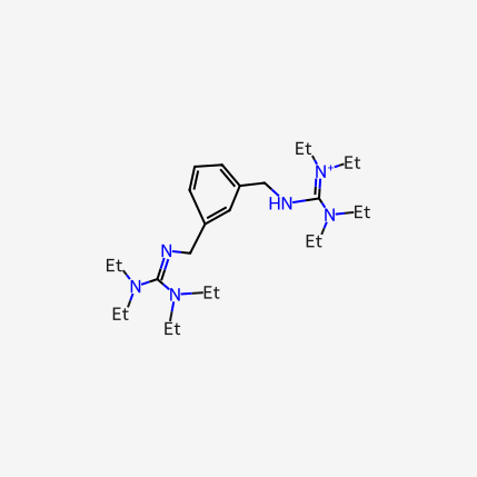 CCN(CC)C(=NCc1cccc(CNC(N(CC)CC)=[N+](CC)CC)c1)N(CC)CC